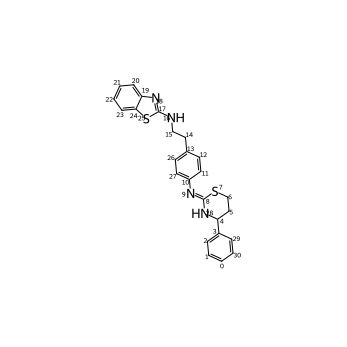 c1ccc(C2CCS/C(=N\c3ccc(CCNc4nc5ccccc5s4)cc3)N2)cc1